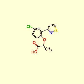 C[C@H](Oc1ccc(Cl)cc1-c1ccsn1)C(=O)O